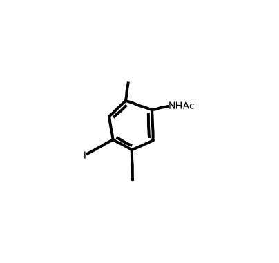 CC(=O)Nc1cc(C)c(I)cc1C